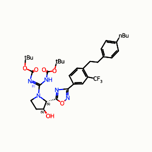 CCCCc1ccc(CCc2ccc(-c3noc([C@@H]4[C@@H](O)CCN4/C(=N/C(=O)OC(C)(C)C)NC(=O)OC(C)(C)C)n3)cc2C(F)(F)F)cc1